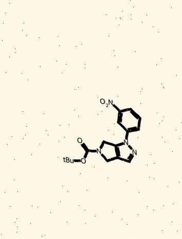 CC(C)(C)OC(=O)N1Cc2cnn(-c3cccc([N+](=O)[O-])c3)c2C1